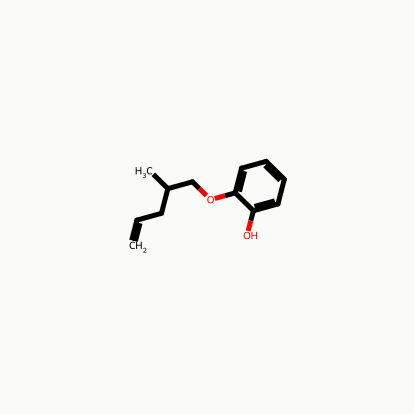 C=CCC(C)COc1ccccc1O